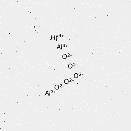 [Al+3].[Al+3].[Hf+4].[O-2].[O-2].[O-2].[O-2].[O-2]